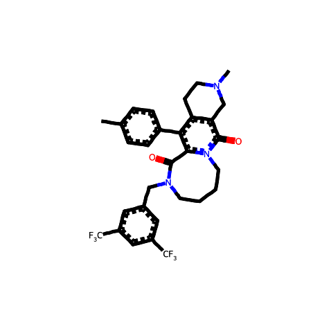 Cc1ccc(-c2c3c(c(=O)n4c2C(=O)N(Cc2cc(C(F)(F)F)cc(C(F)(F)F)c2)CCCC4)CN(C)CC3)cc1